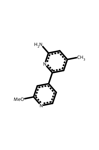 COc1cc(-c2cc(C)cc(N)n2)ccn1